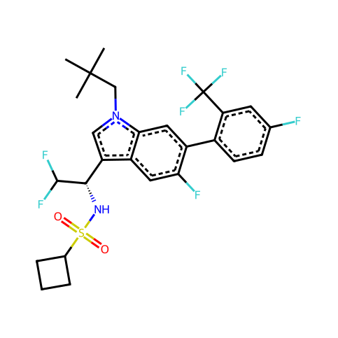 CC(C)(C)Cn1cc([C@H](NS(=O)(=O)C2CCC2)C(F)F)c2cc(F)c(-c3ccc(F)cc3C(F)(F)F)cc21